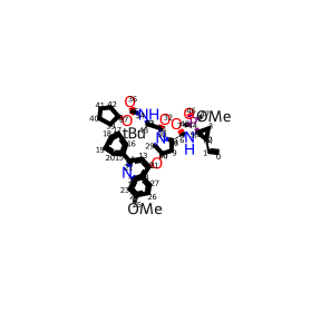 C=C[C@@H]1C[C@]1(NC(=O)[C@@H]1C[C@@H](Oc2cc(-c3ccccc3)nc3cc(OC)ccc23)CN1C(=O)[C@@H](NC(=O)OC1CCCC1)C(C)(C)C)P(C)(=O)OC